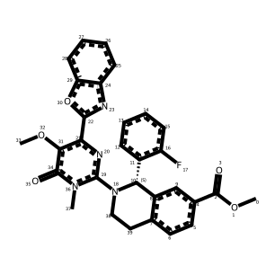 COC(=O)c1ccc2c(c1)[C@@H](c1ccccc1F)N(c1nc(-c3nc4ccccc4o3)c(OC)c(=O)n1C)CC2